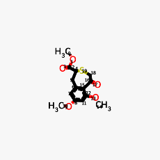 COC(=O)C1Cc2cc(OC)cc(OC)c2C(=O)CS1